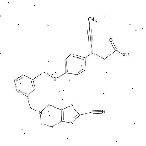 CC#CC(CC(=O)O)c1ccc(OCc2cccc(CN3CCc4nc(C#N)sc4C3)c2)cc1